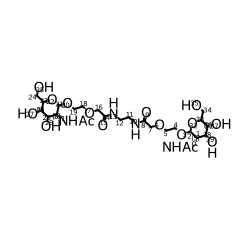 CC(=O)N[C@@H]1C(OCCOCC(=O)NCCNC(=O)COCCOC2OC(CO)[C@H](O)C(O)[C@@H]2NC(C)=O)OC(CO)[C@H](O)C1O